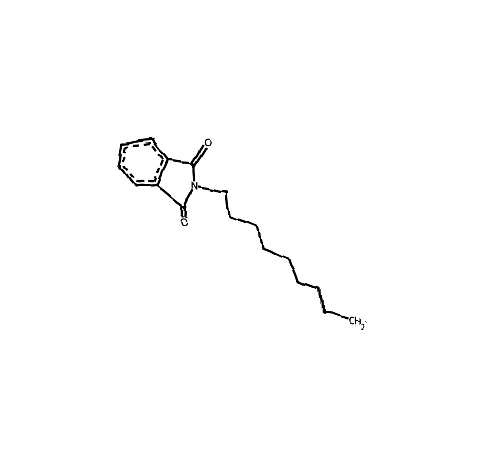 [CH2]CCCCCCCCN1C(=O)c2ccccc2C1=O